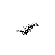 C[C@H](C(C(=O)Nc1cc([C@H](O)CC(=O)OC(C)(C)C)ccc1Cl)c1ccc2c(c1)OC(C)(C)O2)C(F)(F)F